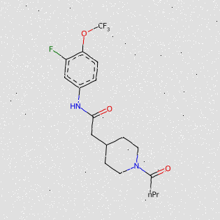 CCCC(=O)N1CCC(CC(=O)Nc2ccc(OC(F)(F)F)c(F)c2)CC1